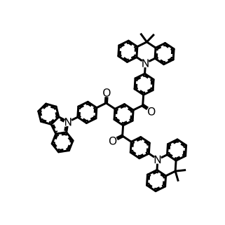 CC1(C)c2ccccc2N(c2ccc(C(=O)c3cc(C(=O)c4ccc(N5c6ccccc6C(C)(C)c6ccccc65)cc4)cc(C(=O)c4ccc(-n5c6ccccc6c6ccccc65)cc4)c3)cc2)c2ccccc21